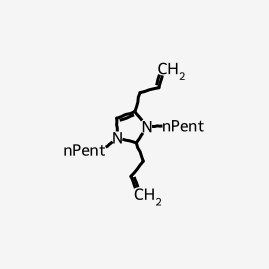 C=CCC1=CN(CCCCC)C(CC=C)N1CCCCC